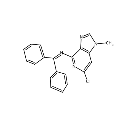 Cn1cnc2c(N=C(c3ccccc3)c3ccccc3)nc(Cl)cc21